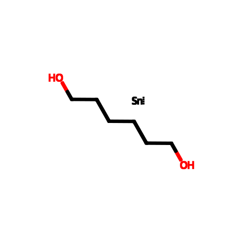 OCCCCCCO.[Sn]